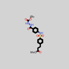 COC(=O)CCc1ccc(S(=O)(=O)Nc2ccc(C(=O)NNC(=O)OC(C)(C)C)cc2)cc1